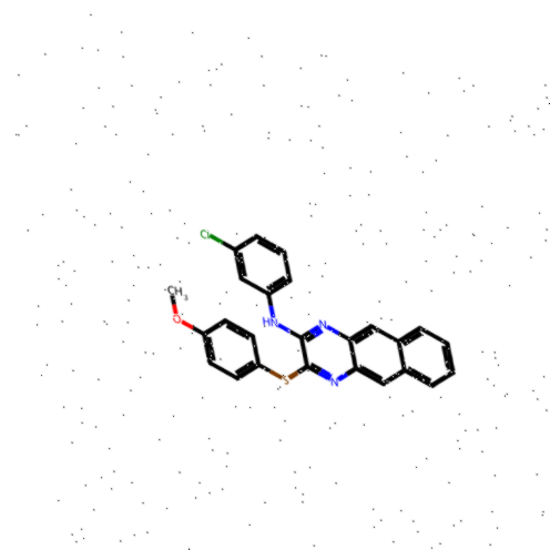 COc1ccc(Sc2nc3cc4ccccc4cc3nc2Nc2cccc(Cl)c2)cc1